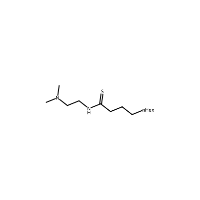 CCCCCCCCCC(=S)NCCN(C)C